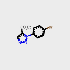 CCOC(=O)c1cnnn1-c1ccc(Br)cc1